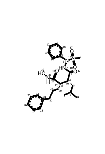 CC(C)C[C@@H](C(=O)NN(c1ccccc1)S(C)(=O)=O)[C@H](CCCc1ccccc1)C(=O)NO